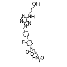 CC(=O)NC[C@H]1CN(c2ccc(-c3ccc(Cn4cnc5c(NCCCCO)ncnc54)cc3)c(F)c2)C(=O)O1